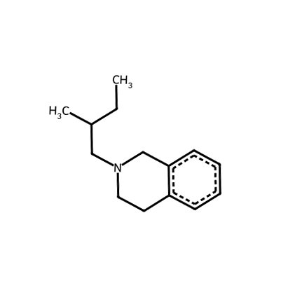 CCC(C)CN1CCc2ccccc2C1